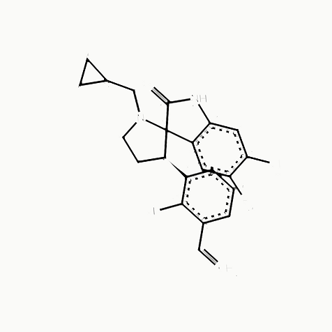 C=Cc1cccc([C@H]2CCN(CC3CC3)C23C(=O)Nc2cc(Cl)c(F)cc23)c1F